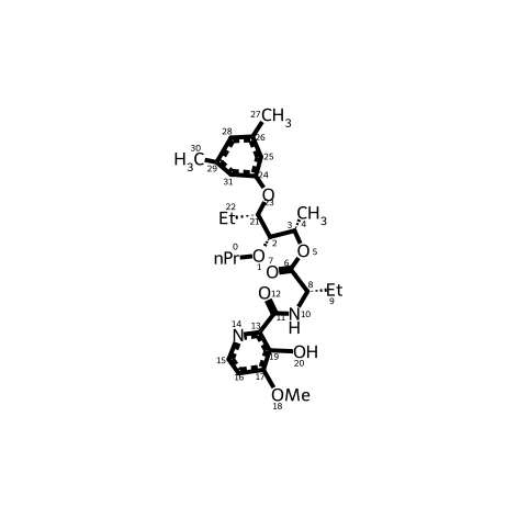 CCCO[C@@H]([C@H](C)OC(=O)[C@H](CC)NC(=O)c1nccc(OC)c1O)[C@H](CC)Oc1cc(C)cc(C)c1